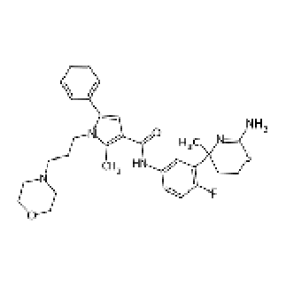 Cc1c(C(=O)Nc2ccc(F)c(C3(C)CCSC(N)=N3)c2)cc(-c2ccccc2)n1CCCN1CCOCC1